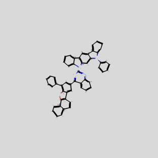 c1ccc(-c2cc(-c3nc(-n4c5ccccc5c5cc6c7ccccc7n(-c7ccccc7)c6cc54)nc4ccccc34)cc3c2oc2c4ccccc4ccc32)cc1